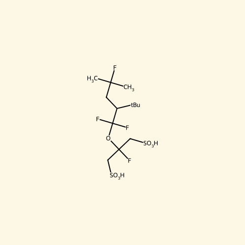 CC(C)(F)CC(C(C)(C)C)C(F)(F)OC(F)(CS(=O)(=O)O)CS(=O)(=O)O